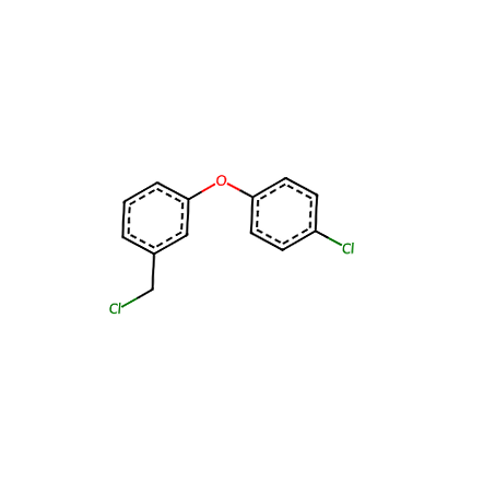 ClCc1cccc(Oc2ccc(Cl)cc2)c1